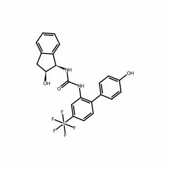 O=C(Nc1cc(S(F)(F)(F)(F)F)ccc1-c1ccc(O)cc1)N[C@@H]1c2ccccc2C[C@@H]1O